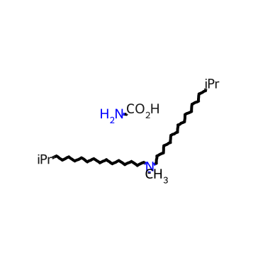 CC(C)CCCCCCCCCCCCCCCN(C)CCCCCCCCCCCCCCCC(C)C.NCC(=O)O